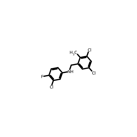 Cc1c(Cl)cc(Cl)cc1CNc1ccc(F)c(Cl)c1